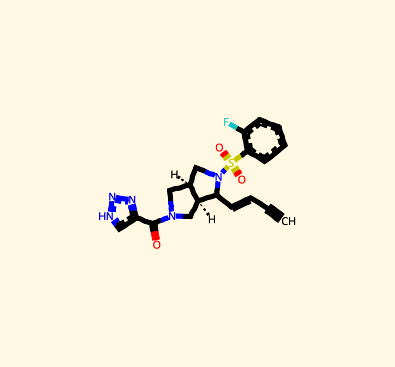 C#C/C=C/C1[C@H]2CN(C(=O)c3c[nH]nn3)C[C@H]2CN1S(=O)(=O)c1ccccc1F